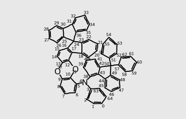 c1ccc(N(c2cccc3c2Oc2c(ccc4c2-c2ccccc2C42c4ccccc4-c4ccccc42)O3)c2cccc3c2-c2ccccc2C3(c2ccccc2)c2ccccc2)cc1